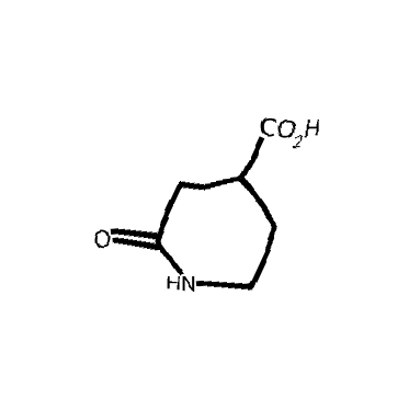 O=C1CC(C(=O)O)CCN1